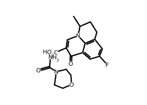 CC1CCc2cc(F)cc3c(=O)c(C(=O)O)cn1c23.NC(=O)N1CCOCC1